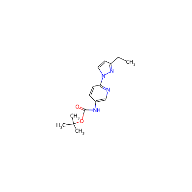 CCc1ccn(-c2ccc(NC(=O)OC(C)(C)C)cn2)n1